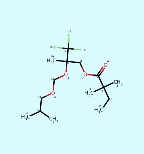 CCC(C)(C)C(=O)OCC(C)(OCOCC(C)C)C(F)(F)F